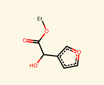 CCOC(=O)C(O)c1ccoc1